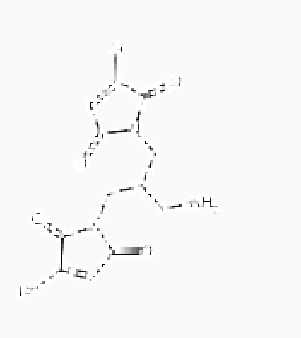 NCC(CN1C(=O)C=C(Br)C1=O)CN1C(=O)C=C(Br)C1=O